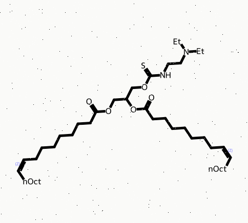 CCCCCCCC/C=C\CCCCCCCC(=O)OCC(COC(=S)NCCN(CC)CC)OC(=O)CCCCCCC/C=C\CCCCCCCC